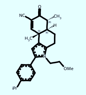 COCCn1c(-c2ccc(C(C)C)cc2)cc2c1CC[C@@H]1[C@@H](C)C(=O)C(C#N)=C[C@@]21C